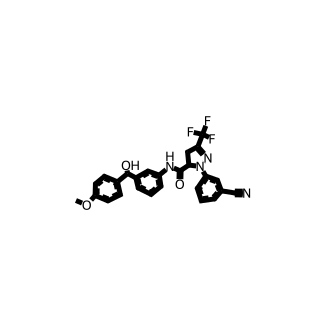 COc1ccc(C(O)c2cccc(NC(=O)C3CC(C(F)(F)F)=NN3c3cccc(C#N)c3)c2)cc1